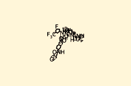 CC[C@@H]1C[C@]1(NC(=O)[C@@H]1C[C@@H](OC(=O)N2Cc3ccc(NC(=O)CN4CCOCC4)cc3C2)CN1C(=O)[C@@H](Nc1cc(F)cc(C(F)(F)F)c1)C(C)(C)C)C(=O)NS(=O)(=O)C1CC1